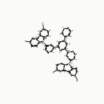 Cc1ccc2c(c1)c1cc(C)ccc1n2-c1cccc(-c2cc(-c3ccccc3)cc(-c3cccc(-n4c5ccc(C)cc5c5cc(C)ccc54)c3)n2)c1